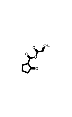 C=CC(=O)OC(=O)C1CCCC1=O